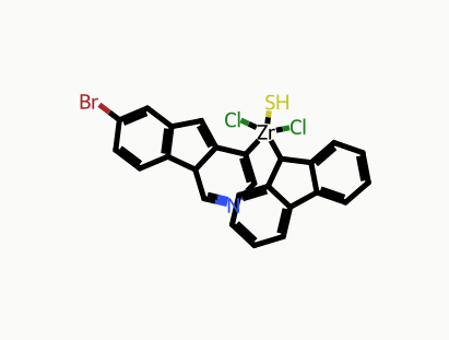 [SH][Zr]([Cl])([Cl])([C]1=CN=CC2C1=Cc1cc(Br)ccc12)[CH]1c2ccccc2-c2ccccc21